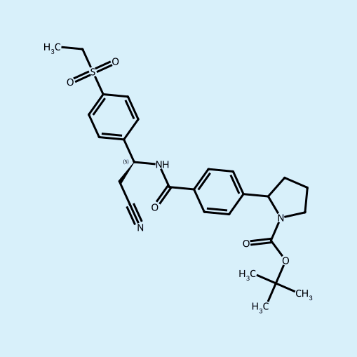 CCS(=O)(=O)c1ccc([C@H](CC#N)NC(=O)c2ccc(C3CCCN3C(=O)OC(C)(C)C)cc2)cc1